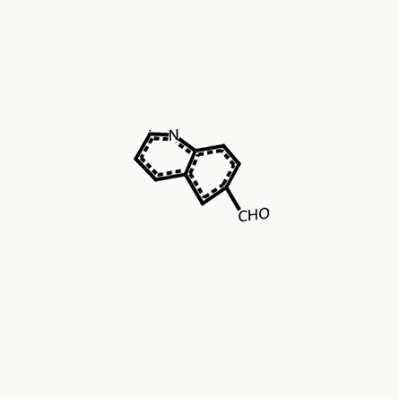 O=Cc1ccc2n[c]ccc2c1